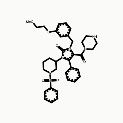 COCCOc1cccc(Cn2c(C(=O)N3CCNCC3)c(-c3ccccc3)n(C3CCCN(S(=O)(=O)c4ccccc4)C3)c2=O)c1